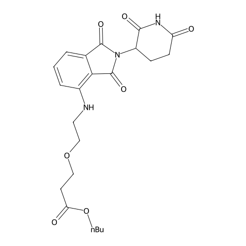 CCCCOC(=O)CCOCCNc1cccc2c1C(=O)N(C1CCC(=O)NC1=O)C2=O